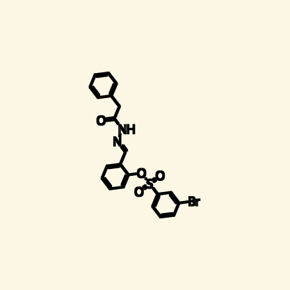 O=C(Cc1ccccc1)NN=Cc1ccccc1OS(=O)(=O)c1cccc(Br)c1